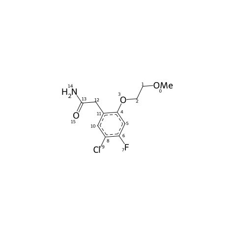 COCCOc1cc(F)c(Cl)cc1CC(N)=O